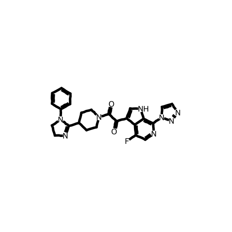 O=C(C(=O)N1CCC(C2=NCCN2c2ccccc2)CC1)c1c[nH]c2c(-n3ccnn3)ncc(F)c12